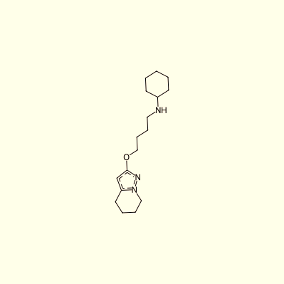 c1c(OCCCCNC2CCCCC2)nn2c1CCCC2